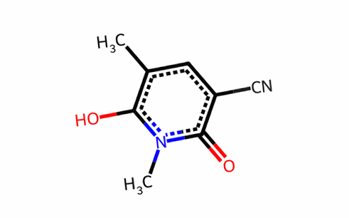 Cc1cc(C#N)c(=O)n(C)c1O